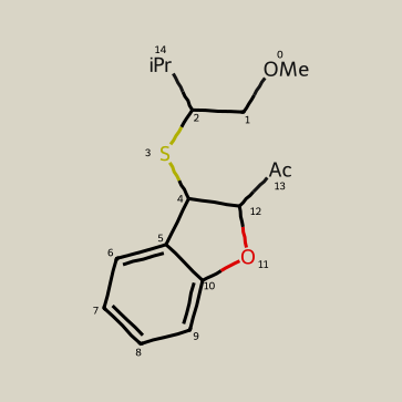 COCC(SC1c2ccccc2OC1C(C)=O)C(C)C